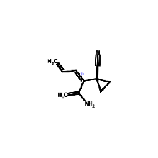 C=C/C=C(\C(=C)N)C1(C#N)CC1